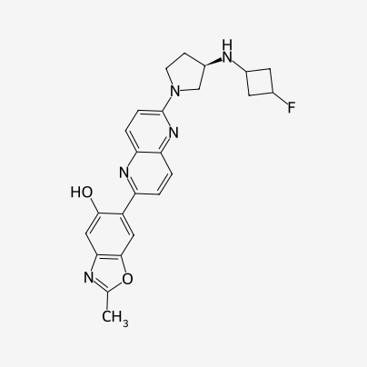 Cc1nc2cc(O)c(-c3ccc4nc(N5CC[C@@H](NC6CC(F)C6)C5)ccc4n3)cc2o1